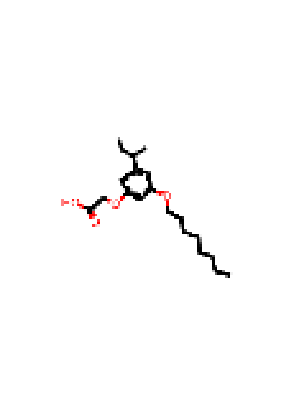 CCCCCCCCOc1cc(OCC(=O)O)cc(C(C)CC)c1